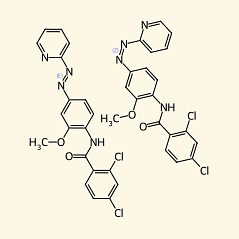 COc1cc(/N=N/c2ccccn2)ccc1NC(=O)c1ccc(Cl)cc1Cl.COc1cc(/N=N\c2ccccn2)ccc1NC(=O)c1ccc(Cl)cc1Cl